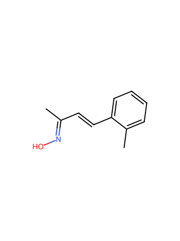 CC(C=Cc1ccccc1C)=NO